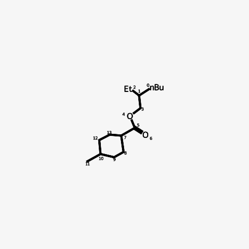 CCCCC(CC)COC(=O)C1CCC(C)CC1